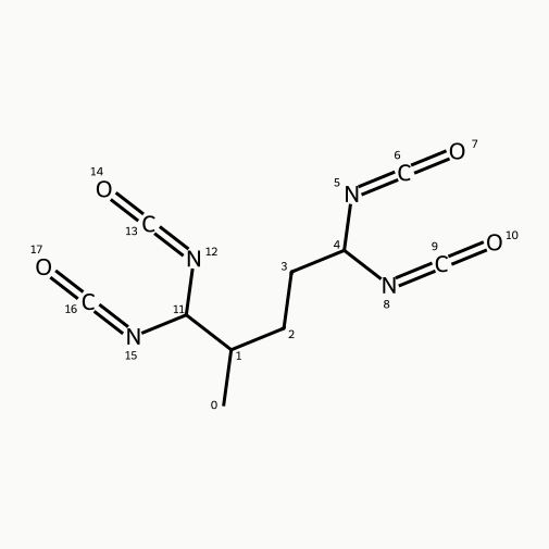 CC(CCC(N=C=O)N=C=O)C(N=C=O)N=C=O